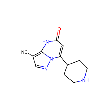 N#Cc1cnn2c(C3CCNCC3)cc(=O)[nH]c12